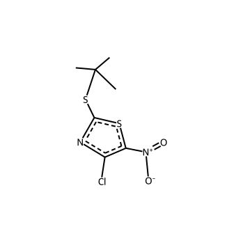 CC(C)(C)Sc1nc(Cl)c([N+](=O)[O-])s1